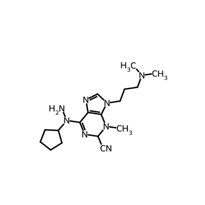 CN(C)CCCn1cnc2c1N(C)C(C#N)N=C2N(N)C1CCCC1